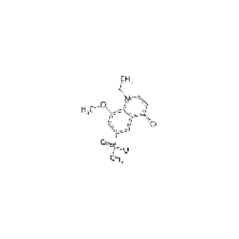 CCn1ccc(=O)c2cc(S(C)(=O)=O)cc(OC)c21